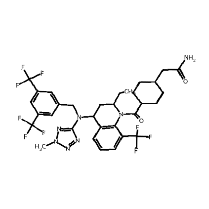 CCC1CC(N(Cc2cc(C(F)(F)F)cc(C(F)(F)F)c2)c2nnn(C)n2)c2cccc(C(F)(F)F)c2N1C(=O)C1CCC(CC(N)=O)CC1